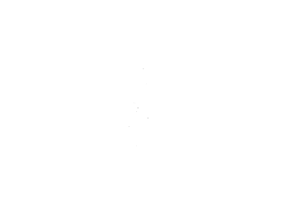 Cc1cn([C@H]2CC(OP(O)(O)=S)[C@@H](CO)O2)c(=O)nc1N